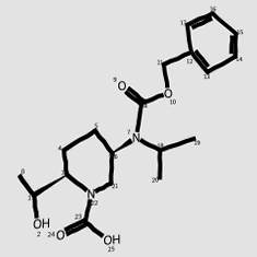 CC(O)[C@H]1CC[C@@H](N(C(=O)OCc2ccccc2)C(C)C)CN1C(=O)O